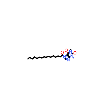 CCCCCCCCCCCCCCCC(=O)n1cnc2c1c(=O)n(C)c(=O)n2C